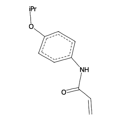 C=CC(=O)Nc1ccc(OC(C)C)cc1